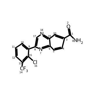 NC(=O)c1ccc2nc(-c3cccc(C(F)(F)F)c3Cl)cnc2c1